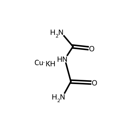 NC(=O)NC(N)=O.[Cu].[KH]